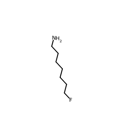 NCCCCCCCF